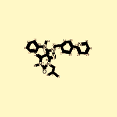 CC(C)Cn1c(=O)n(C)c(=S)c2c(N(C)c3ccccc3)n(Cc3ccc(-c4ccccn4)cc3)nc21